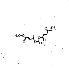 COC(=O)C=CC(=O)OC(C)OC(=O)C=CC(=O)OC